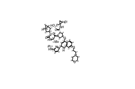 CC[C@@H]1C[C@]1(NC(=O)[C@@H]1C[C@@H](OC2=CC(n3ccc(NC(C)C)n3)Nc3cc(OCCN4CCOCC4)ccc32)CN1C(=O)[C@@H](NC(=O)OC1CC2C[C@H]2C1)C(C)(C)C)C(=O)O